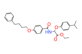 CCOC(=O)C(NC(=O)c1ccc(OCCCCc2ccccc2)cc1)Oc1ccc(C(C)C)cc1